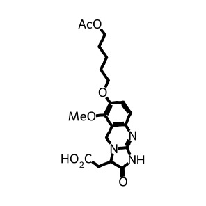 COc1c(OCCCCCOC(C)=O)ccc2c1CN1C(=N2)NC(=O)C1CC(=O)O